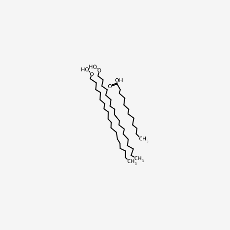 CCCCCCCCCCCC(=O)O.CCCCCCCCCCCCCCCCCCOO.CCCCCCCCCCCCCCCCCCOO